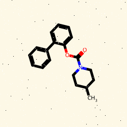 CC1CCN(C(=O)Oc2ccccc2-c2ccccc2)CC1